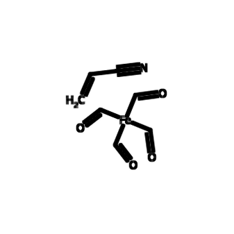 C=CC#N.O=[CH][Fe]([CH]=O)([CH]=O)[CH]=O